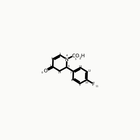 O=C1C=CN(C(=O)O)C(c2ccc(F)cc2)C1